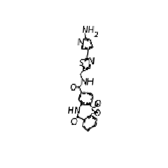 Nc1ccc(-c2ncc(CNC(=O)c3ccc4c(c3)NC(=O)c3ccccc3S4(=O)=O)s2)cn1